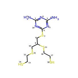 Nc1nc(N)nc(SCC(CSCCS)SCCS)n1